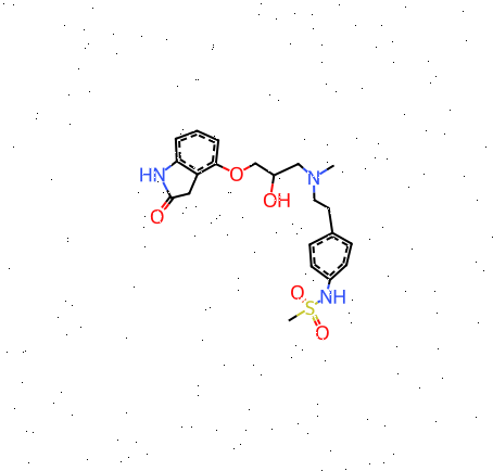 CN(CCc1ccc(NS(C)(=O)=O)cc1)CC(O)COc1cccc2c1CC(=O)N2